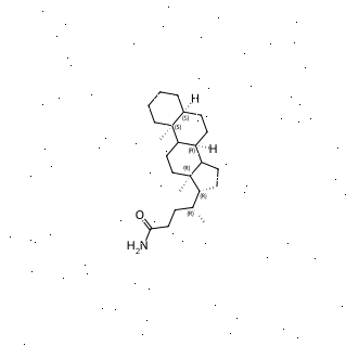 C[C@H](CCC(N)=O)[C@H]1CCC2[C@@H]3CC[C@@H]4CCCC[C@]4(C)C3CC[C@@]21C